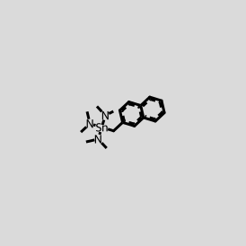 C[N](C)[Sn]([CH2]c1ccc2ccccc2c1)([N](C)C)[N](C)C